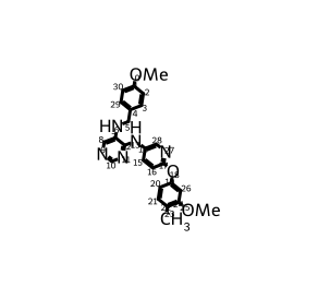 COc1ccc(CNc2cncnc2Nc2ccc(Oc3ccc(C)c(OC)c3)nc2)cc1